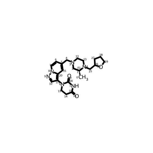 C[C@H]1CN(Cc2ccn3ncc(N4CCC(=O)NC4=O)c3c2)CCN1CC1CCCO1